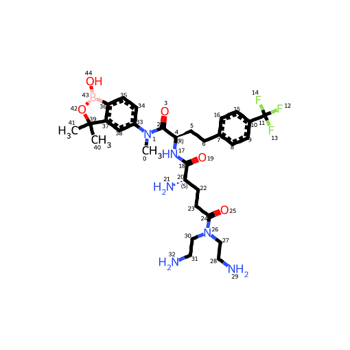 CN(C(=O)[C@@H](CCc1ccc(C(F)(F)F)cc1)NC(=O)[C@@H](N)CCC(=O)N(CCN)CCN)c1ccc2c(c1)C(C)(C)OB2O